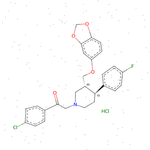 Cl.O=C(CN1CC[C@H](c2ccc(F)cc2)[C@@H](COc2ccc3c(c2)OCO3)C1)c1ccc(Cl)cc1